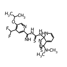 CC(C)Oc1cnc(C(=N)NC(=S)NC2(N=C=S)NC=CC=C2C(=O)N(C)C)cc1C(F)F